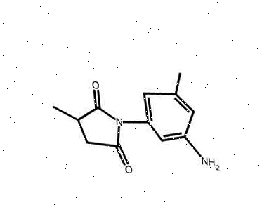 Cc1cc(N)cc(N2C(=O)CC(C)C2=O)c1